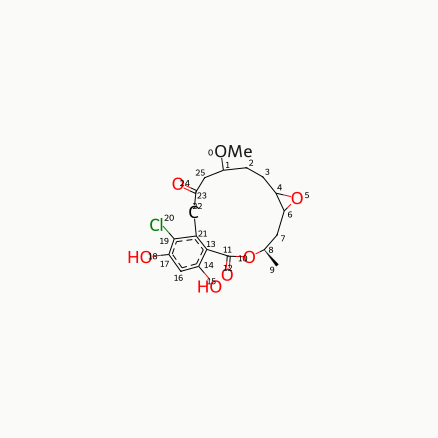 COC1CCC2OC2C[C@@H](C)OC(=O)c2c(O)cc(O)c(Cl)c2CC(=O)C1